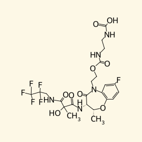 C[C@H]1Oc2ccc(F)cc2N(CCOC(=O)NCCNC(=O)O)C(=O)[C@H]1NC(=O)C(C)(O)C(=O)NCC(F)(F)C(F)(F)F